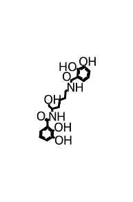 O=C(NCCCCC(CO)NC(=O)c1cccc(O)c1O)c1cccc(O)c1O